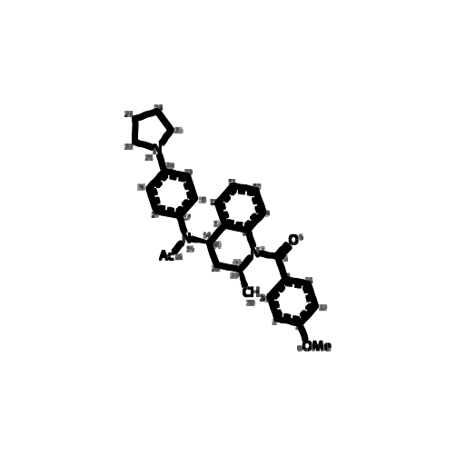 COc1ccc(C(=O)N2c3ccccc3[C@H](N(C(C)=O)c3ccc(N4CCCC4)cc3)C[C@@H]2C)cc1